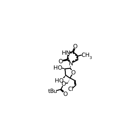 Cc1cn([C@@H]2O[C@](/C=C\Cl)(COC(=O)C(C)(C)C)[C@@H](O)[C@H]2O)c(=O)[nH]c1=O